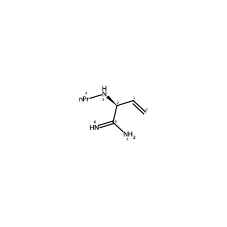 C=C[C@H](NCCC)C(=N)N